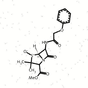 COC(=O)C1N2C(=O)C(NC(=O)COc3ccccc3)[C@@H]2[S+]([O-])C1(C)C